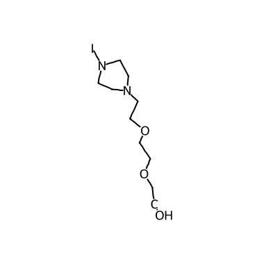 OCCOCCOCCN1CCN(I)CC1